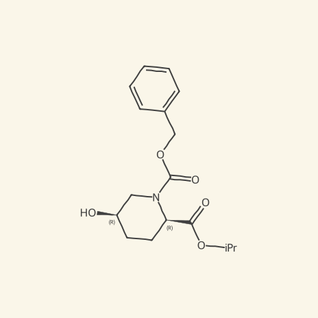 CC(C)OC(=O)[C@H]1CC[C@@H](O)CN1C(=O)OCc1ccccc1